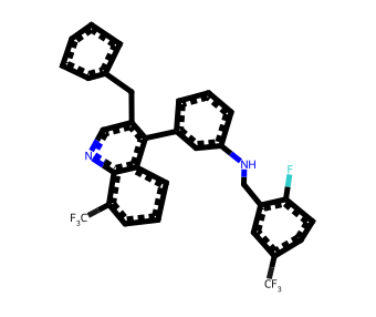 Fc1ccc(C(F)(F)F)cc1CNc1cccc(-c2c(Cc3ccccc3)cnc3c(C(F)(F)F)cccc23)c1